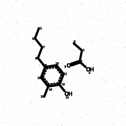 CCC(=O)O.CCCCc1ccc(O)c(C)c1